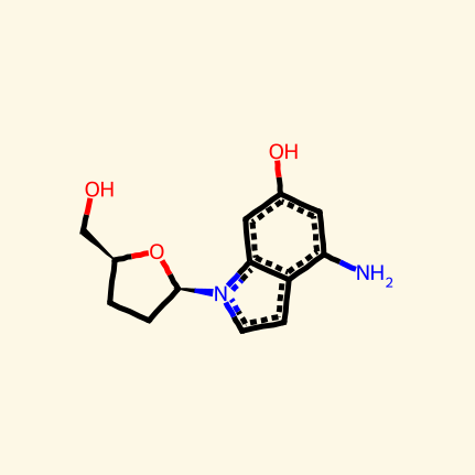 Nc1cc(O)cc2c1ccn2[C@H]1CC[C@@H](CO)O1